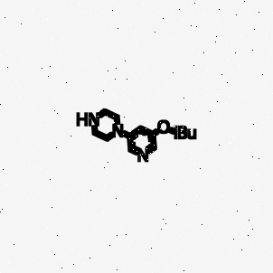 CCC(C)Oc1cncc(N2CCNCC2)c1